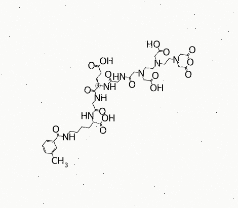 Cc1cccc(C(=O)NCCCCC(NC(=O)CNC(=O)[C@@H](CCC(=O)O)NC(=O)CNC(=O)CN(CCN(CCN2CC(=O)OC(=O)C2)CC(=O)O)CC(=O)O)C(=O)O)c1